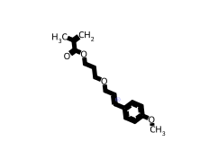 C=C(C)C(=O)OCCCOC/C=C/c1ccc(OC)cc1